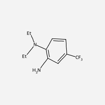 CCN(CC)c1ccc(C(F)(F)F)cc1N